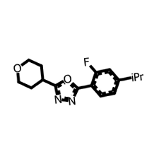 CC(C)c1ccc(-c2nnc(C3CCOCC3)o2)c(F)c1